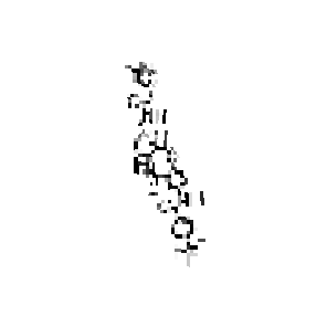 Cc1cc(CC(=O)NC[C@@H]2CC[C@H]3[C@H](COc4ccc(NC(=O)c5ccc(C(F)(F)F)cc5)cc4C(=O)N3C)O2)on1